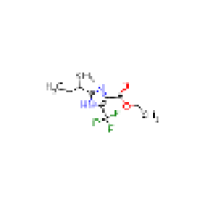 CCOC(=O)c1nc(C(C)CC)[nH]c1C(F)(F)F